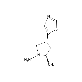 C[C@@H]1C[C@H](c2cncs2)CN1N